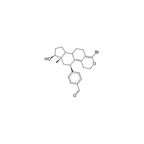 C[C@]12C[C@H](c3ccc(C=O)cc3)C3=C4CCOC(Br)=C4CCC3C1CC[C@@H]2O